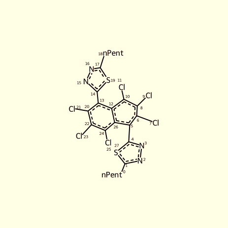 CCCCCc1nnc(-c2c(Cl)c(Cl)c(Cl)c3c(-c4nnc(CCCCC)s4)c(Cl)c(Cl)c(Cl)c23)s1